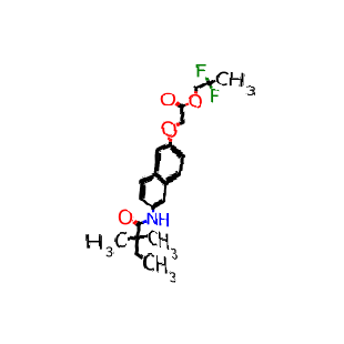 CCC(C)(C)C(=O)Nc1ccc2cc(OCC(=O)OCC(C)(F)F)ccc2c1